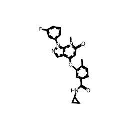 Cc1ccc(C(=O)NC2CC2)cc1Oc1cc(=O)n(C)c2c1cnn2-c1cccc(F)c1